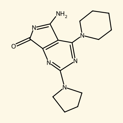 NC1=NC(=O)c2nc(N3CCCC3)nc(N3CCCCC3)c21